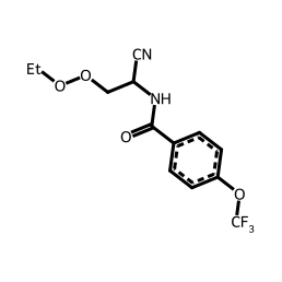 CCOOCC(C#N)NC(=O)c1ccc(OC(F)(F)F)cc1